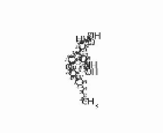 CCCCCC1CCC(c2ccc(Oc3ccc(CC(c4ccc(NC(=O)O)cc4)c4ccc(NC(=O)O)cc4)cc3)cc2)CC1